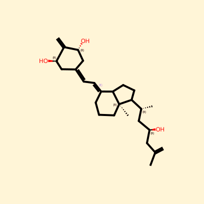 C=C(C)C[C@H](O)C[C@@H](C)C1CCC2/C(=C/C=C3C[C@@H](O)C(=C)[C@H](O)C3)CCC[C@@]21C